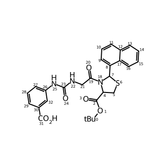 CC(C)(C)OC(=O)C1CSC(c2cccc3ccccc23)N1C(=O)CNC(=O)Nc1cccc(C(=O)O)c1